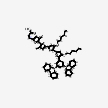 CCCCCCOc1cc(-c2sc(-c3cc(C)c(-c4sc(/C=C\C(=O)O)cc4C)s3)cc2OCCCCCC)sc1-c1cc(-n2c3ccccc3c3ccccc32)cc(-n2c3ccccc3c3ccccc32)c1